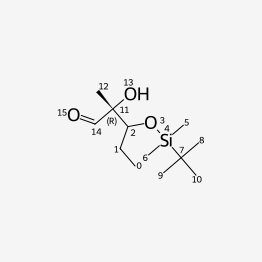 CCC(O[Si](C)(C)C(C)(C)C)[C@@](C)(O)C=O